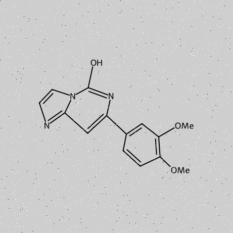 COc1ccc(-c2cc3nccn3c(O)n2)cc1OC